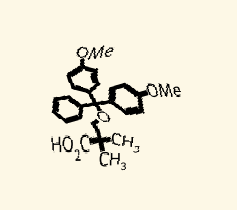 COc1ccc(C(OCC(C)(C)C(=O)O)(c2ccccc2)c2ccc(OC)cc2)cc1